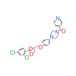 O=C(c1ccncc1)N1CCN(c2ccc(OCC3COC(c4ccc(Cl)cc4Cl)O3)cc2)CC1